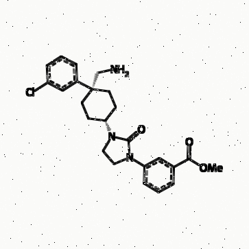 COC(=O)c1cccc(N2CCN([C@H]3CC[C@](CN)(c4cccc(Cl)c4)CC3)C2=O)c1